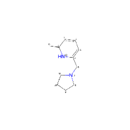 CC1C=CC=C(CN2CCCC2)N1